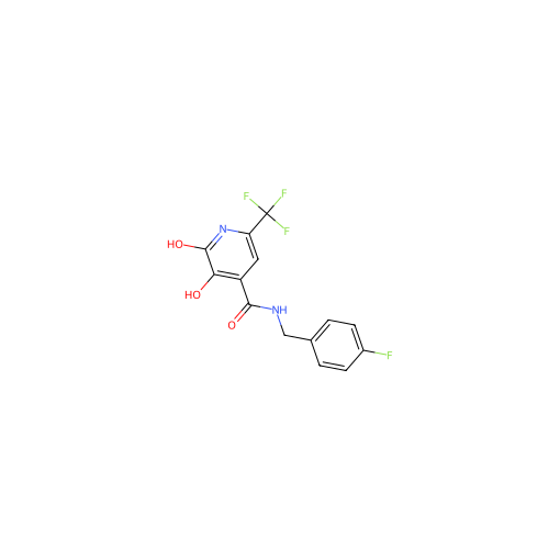 O=C(NCc1ccc(F)cc1)c1cc(C(F)(F)F)nc(O)c1O